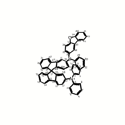 c1ccc(N(c2ccccc2)c2ccc3c(c2)C2(c4ccccc4-c4cc(N(c5ccccc5)c5ccc6oc7ccccc7c6c5)ccc42)c2ccccc2-3)cc1